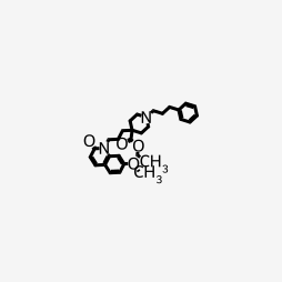 CCOC(=O)C1(CCCn2c(=O)ccc3ccc(OC)cc32)CCN(CCCc2ccccc2)CC1